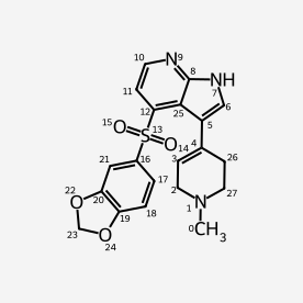 CN1CC=C(c2c[nH]c3nccc(S(=O)(=O)c4ccc5c(c4)OCO5)c23)CC1